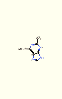 COc1nc(C(F)(F)F)nc2[nH]cnc12